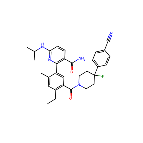 CCc1cc(C)c(-c2nc(NC(C)C)ccc2C(N)=O)cc1C(=O)N1CCC(F)(c2ccc(C#N)cc2)CC1